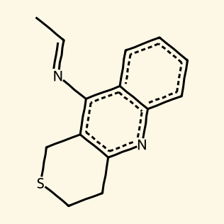 CC=Nc1c2c(nc3ccccc13)CCSC2